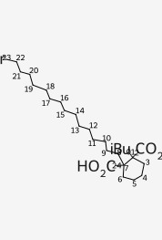 CCC(C)C1(C(=O)O)CCCCC1(CCCCCCCCCCCCCCCC(C)C)C(=O)O